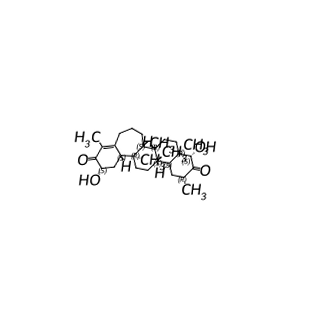 CC1=C2CCC[C@H]3[C@@](C)(CC[C@@]4(C)[C@@H]5C[C@@H](C)C(=O)[C@@H](O)[C@]5(C)CC[C@]34C)[C@@H]2C[C@H](O)C1=O